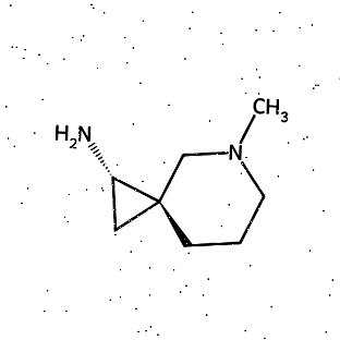 CN1CCC[C@]2(C[C@@H]2N)C1